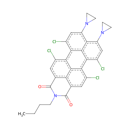 CCCCN1C(=O)c2cc(Cl)c3c4c(Cl)cc(N5CC5)c5c(N6CC6)cc(Cl)c(c6c(Cl)cc(c2c36)C1=O)c54